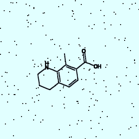 Cc1c(C(=O)O)ccc2c1NCCC2